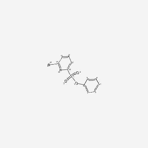 O=S(=O)(Oc1ccccc1)c1cccc(Br)n1